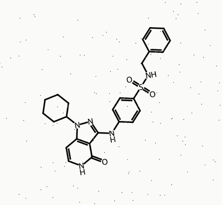 O=c1[nH]ccc2c1c(Nc1ccc(S(=O)(=O)NCc3ccccc3)cc1)nn2C1CCCCC1